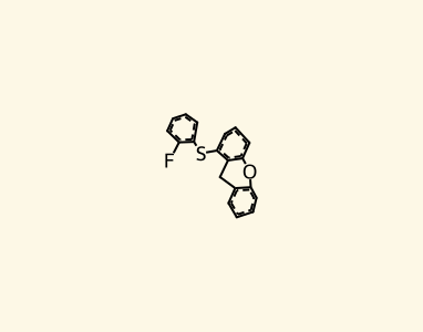 Fc1ccccc1Sc1cccc2c1Cc1ccccc1O2